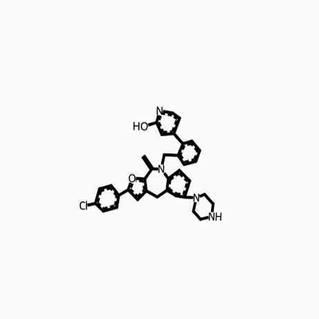 C=C1c2oc(-c3ccc(Cl)cc3)cc2Cc2cc(N3CCNCC3)ccc2N1Cc1ccccc1-c1ccnc(O)c1